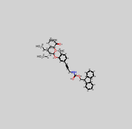 COC(=O)[C@H]1OC(Oc2cc(C#CCNC(=O)OCC3c4ccccc4-c4ccccc43)ccc2C=O)[C@H](CC(=O)O)[C@@H](CC(=O)O)[C@@H]1CC(=O)O